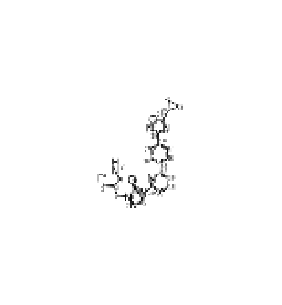 NC/C(=C\F)Cn1ncn(-c2cccc(-c3ccc(-c4noc(C5CC5)n4)cc3)n2)c1=O